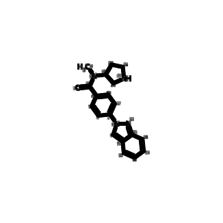 CN(C(=O)c1ccc(-n2cc3ccccc3n2)cc1)C1CCNC1